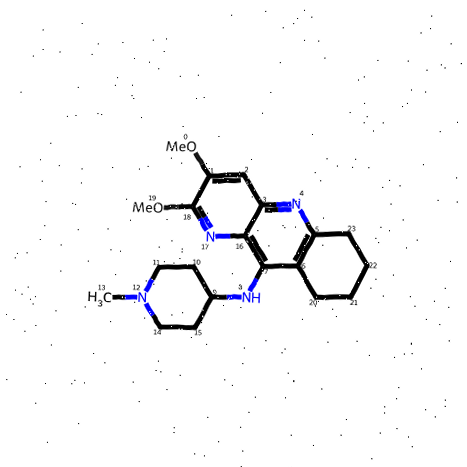 COc1cc2nc3c(c(NC4CCN(C)CC4)c2nc1OC)CCCC3